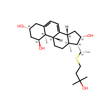 C[C@H](SCCC(C)(C)O)[C@H]1[C@@H](O)C[C@H]2C3=CC=C4C[C@@H](O)C[C@H](O)[C@]4(C)[C@H]3CC[C@]12C